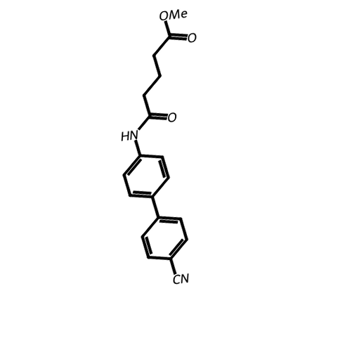 COC(=O)CCCC(=O)Nc1ccc(-c2ccc(C#N)cc2)cc1